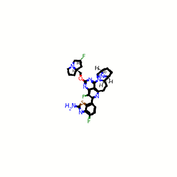 Nc1nc2c(F)ccc(-c3nc4c5c(nc(OC[C@@]67CCCN6C[C@H](F)C7)nc5c3F)N3C[C@H]5CC[C@H](N5)[C@H]3CC4)c2s1